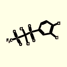 O=S(=O)(c1ccc(Cl)c(Cl)c1)C(Cl)(Cl)S(=O)(=O)C(F)(F)F